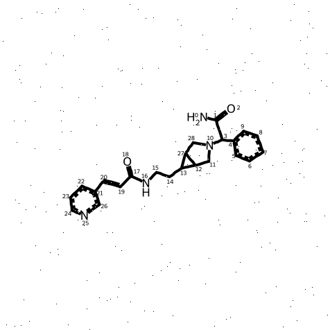 NC(=O)C(c1ccccc1)N1CC2C(CCNC(=O)/C=C/c3cccnc3)C2C1